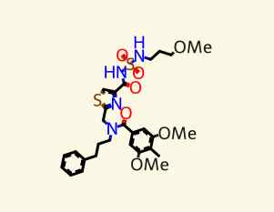 COCCCNS(=O)(=O)NC(=O)c1csc(CN(CCCc2ccccc2)C(=O)c2cc(OC)c(C)c(OC)c2)n1